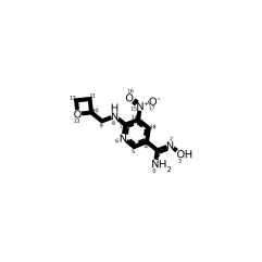 NC(=NO)c1cnc(NCC2CCO2)c([N+](=O)[O-])c1